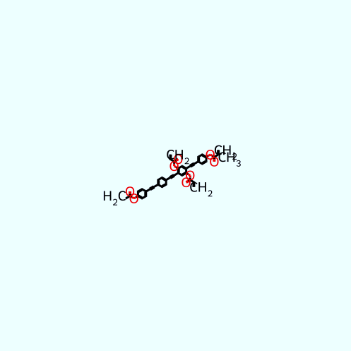 C=CC(=O)Oc1ccc(C#Cc2ccc(C#Cc3cc(OC(=O)C=C)c(C#Cc4ccc(OC(=O)C(=C)C)cc4)cc3OC(=O)C=C)cc2)cc1